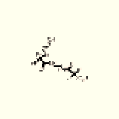 O=C(NCCNC(=O)C(F)(F)S(=O)(=O)O)C(F)(F)SOOO